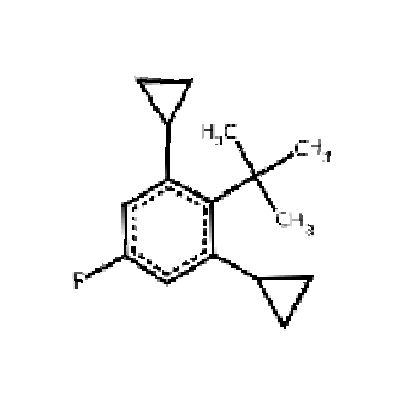 CC(C)(C)c1c(C2CC2)cc(F)cc1C1CC1